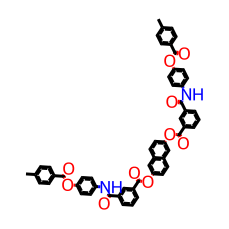 Cc1ccc(C(=O)Oc2ccc(NC(=O)c3cccc(C(=O)Oc4ccc5cc(OC(=O)c6cccc(C(=O)Nc7ccc(OC(=O)c8ccc(C)cc8)cc7)c6)ccc5c4)c3)cc2)cc1